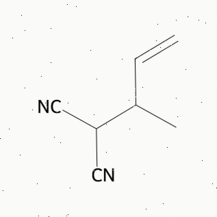 C=CC(C)C(C#N)C#N